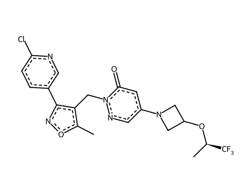 Cc1onc(-c2ccc(Cl)nc2)c1Cn1ncc(N2CC(O[C@H](C)C(F)(F)F)C2)cc1=O